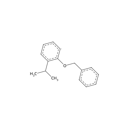 CC(C)c1ccc[c]c1OCc1ccccc1